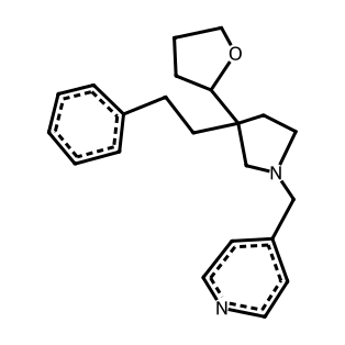 c1ccc(CCC2(C3CCCO3)CCN(Cc3ccncc3)C2)cc1